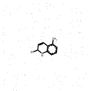 CCC1C=Cc2c(C)cccc2N1